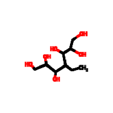 CCC(C(O)C(O)CO)C(O)C(O)CO